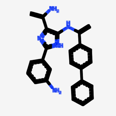 C=C(Nc1[nH]c(-c2cccc(N)c2)nc1C(=C)N)c1ccc(-c2ccccc2)cc1